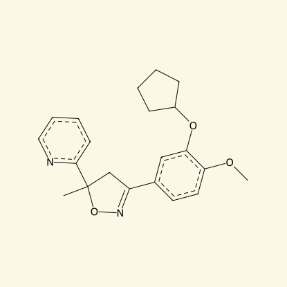 COc1ccc(C2=NOC(C)(c3ccccn3)C2)cc1OC1CCCC1